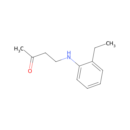 CCc1ccccc1NCCC(C)=O